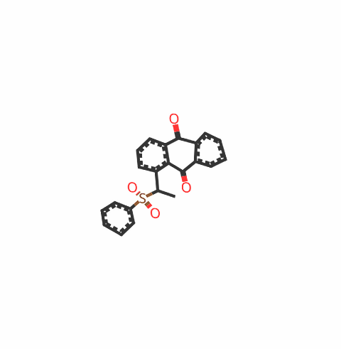 CC(c1cccc2c1C(=O)c1ccccc1C2=O)S(=O)(=O)c1ccccc1